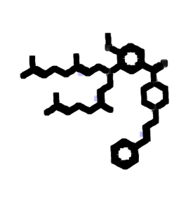 COc1ccc(C(=O)N2CCN(C/C=C/c3ccccc3)CC2)cc1N(C/C=C(\C)CCC=C(C)C)C/C=C(\C)CCC=C(C)C